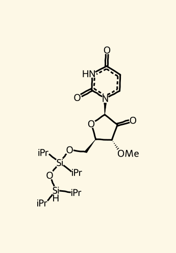 CO[C@H]1C(=O)[C@H](n2ccc(=O)[nH]c2=O)O[C@@H]1CO[Si](O[SiH](C(C)C)C(C)C)(C(C)C)C(C)C